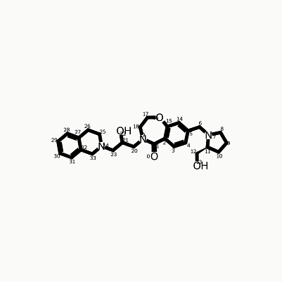 O=C1c2ccc(CN3CCC[C@H]3CO)cc2OCCN1CC(O)CN1CCc2ccccc2C1